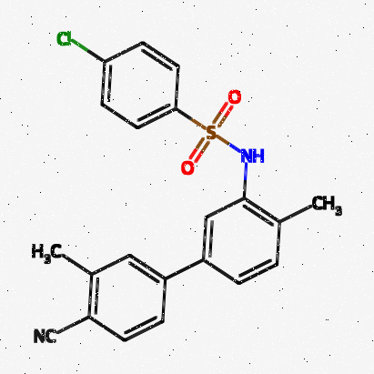 Cc1cc(-c2ccc(C)c(NS(=O)(=O)c3ccc(Cl)cc3)c2)ccc1C#N